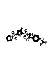 Cc1cc(S(=O)(=O)N2CCCC2)sc1S(=O)(=O)NC(=O)c1ccc(OC(F)F)cc1